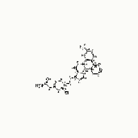 NC(=O)CN1CC[C@@H](CCn2ccc3c(N4CCOC[C@@H]4c4ccc(C(F)(F)F)cc4)ncnc32)[C@H](O)C1